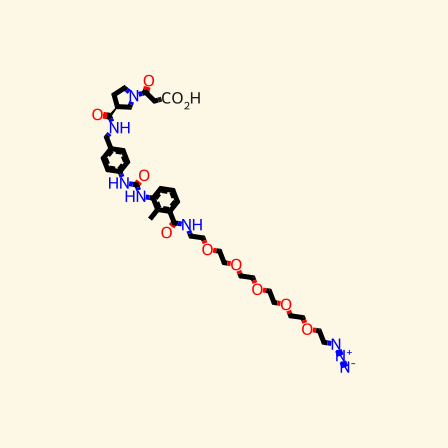 Cc1c(NC(=O)Nc2ccc(CNC(=O)[C@H]3CCN(C(=O)CC(=O)O)C3)cc2)cccc1C(=O)NCCOCCOCCOCCOCCOCCN=[N+]=[N-]